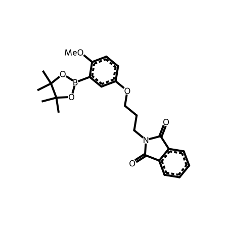 COc1ccc(OCCCN2C(=O)c3ccccc3C2=O)cc1B1OC(C)(C)C(C)(C)O1